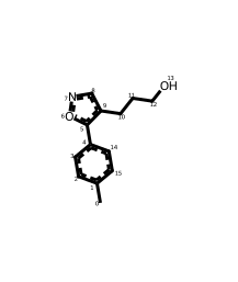 Cc1ccc(-c2oncc2CCCO)cc1